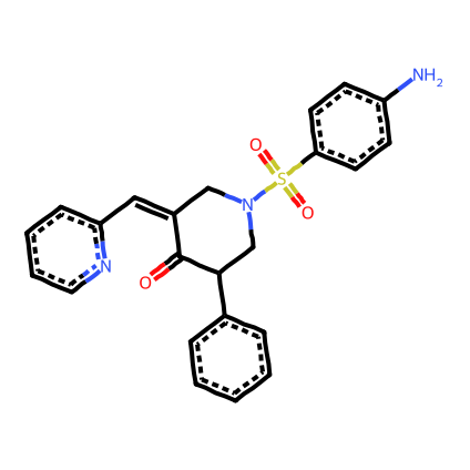 Nc1ccc(S(=O)(=O)N2C/C(=C/c3ccccn3)C(=O)C(c3ccccc3)C2)cc1